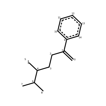 C=C(CCC(I)C(C)C)c1ccccc1